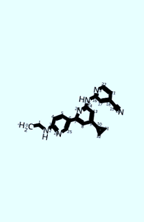 [CH2]CNc1ccc(-c2cc(C3CC3)cc(Nc3cc(C#N)ccn3)n2)cn1